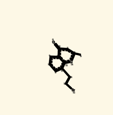 Cc1cc(=O)c2cccc(CCBr)c2o1